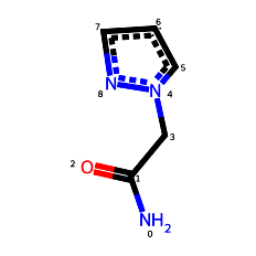 NC(=O)Cn1c[c]cn1